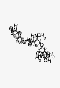 CNc1cc(Oc2cc(C)c(NC(=O)O)c(C)c2)ccc1NC(=O)COc1ccc(CC2SC(=O)NC2=O)cc1